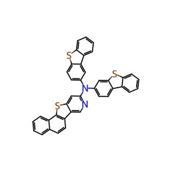 c1ccc2c(c1)ccc1c3cnc(N(c4ccc5c(c4)sc4ccccc45)c4ccc5sc6ccccc6c5c4)cc3sc21